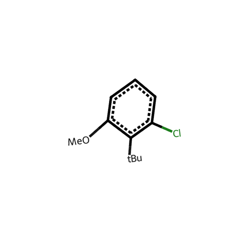 COc1cccc(Cl)c1C(C)(C)C